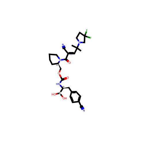 CC(C)(/C=C(\C#N)C(=O)N1CCCC[C@@H]1COC(=O)N[C@@H](Cc1ccc(C#N)cc1)B(O)O)N1CCC(F)(F)C1